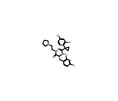 O=C(NCCN1CCCC1)[C@H](Cc1ccc(Cl)cc1Cl)NC(=O)C1(c2ccc(Cl)cc2Cl)CC1